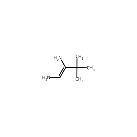 CC(C)(C)/C(N)=C/N